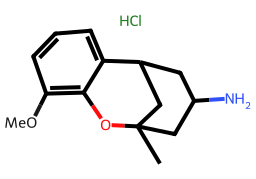 COc1cccc2c1OC1(C)CC(N)CC2C1.Cl